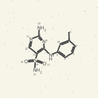 Cc1cccc(Nc2nc(N)ncc2S(N)(=O)=O)c1